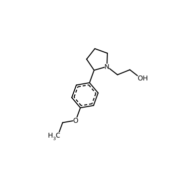 CCOc1ccc(C2CCCN2CCO)cc1